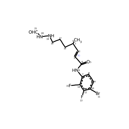 CC(/C=C/C(=O)Nc1ccc(Br)c(F)c1F)CCCNNC=O